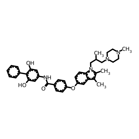 Cc1c(C)n(CC(C)CN2CCN(C)CC2)c2ccc(Oc3ccc(C(=O)Nc4cc(O)c(-c5ccccc5)c(O)c4)cc3)cc12